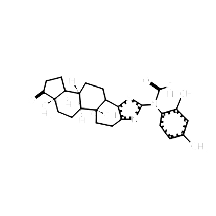 CC(=O)N(c1nc2c(s1)C1CC[C@@H]3[C@H](CC[C@]4(C)C(=O)CC[C@@H]34)[C@@]1(C)CC2)c1ccc(C)cc1C